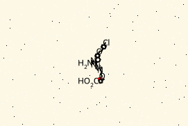 CC12CCC(C(=O)O)(CC1OCCN1CCN(c3nc(N)nc4c3CCc3cc(OCc5ccc(Cl)cc5)ccc3-4)CC1)C2(C)C